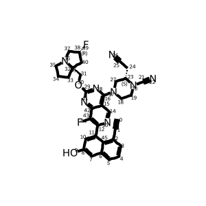 C#Cc1cccc2cc(O)cc(-c3ncc4c(N5CCN(C#N)[C@@H](CC#N)C5)nc(OC[C@@]56CCCN5C[C@H](F)C6)nc4c3F)c12